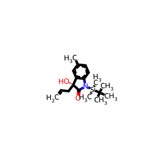 C=CC[C@]1(O)C(=O)N([Si](C)(C)C(C)(C)C)c2ccc(C)cc21